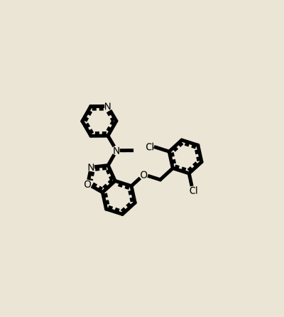 CN(c1cccnc1)c1noc2cccc(OCc3c(Cl)cccc3Cl)c12